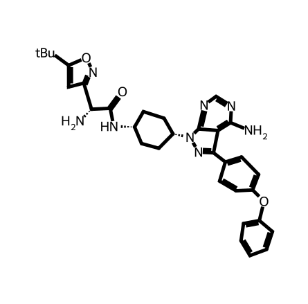 CC(C)(C)c1cc([C@@H](N)C(=O)N[C@H]2CC[C@@H](n3nc(-c4ccc(Oc5ccccc5)cc4)c4c(N)ncnc43)CC2)no1